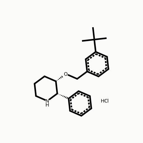 CC(C)(C)c1cccc(CO[C@H]2CCCN[C@H]2c2ccccc2)c1.Cl